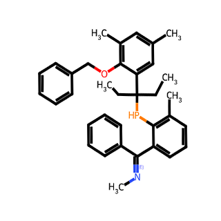 CCC(CC)(Pc1c(C)cccc1/C(=N/C)c1ccccc1)c1cc(C)cc(C)c1OCc1ccccc1